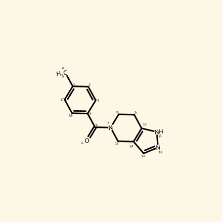 Cc1ccc(C(=O)N2CCc3[nH]ncc3C2)cc1